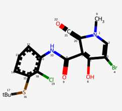 CN1C=C(Br)C(O)=C(C(=O)Nc2cccc(SC(C)(C)C)c2Cl)C1=C=O